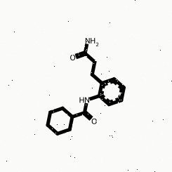 NC(=O)CCc1ccccc1NC(=O)C1CCCCC1